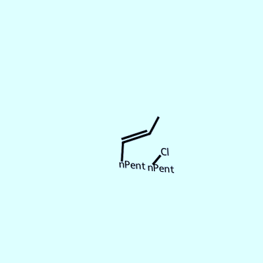 C/C=C/CCCCC.CCCCCCl